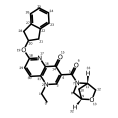 CCn1cc(C(=O)N2C[C@@H]3C[C@H]2CO3)c(=O)c2nc(OC3Cc4ccccc4C3)ccc21